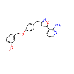 COc1cccc(COc2ccc(CC3=NOC(c4cccnc4N)C3)cc2)c1